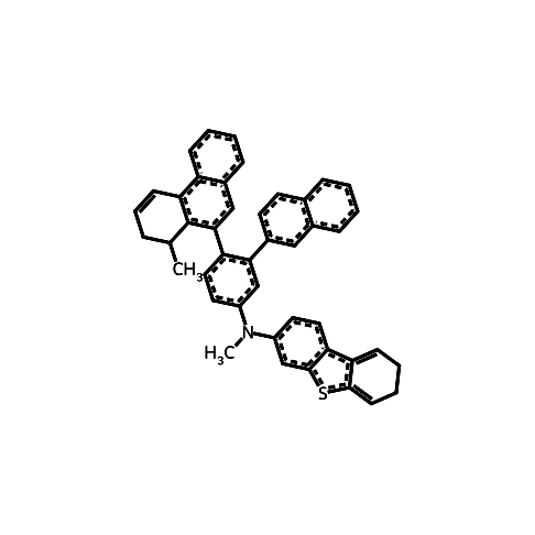 CC1CC=Cc2c1c(-c1ccc(N(C)c3ccc4c5c(sc4c3)=CCCC=5)cc1-c1ccc3ccccc3c1)cc1ccccc21